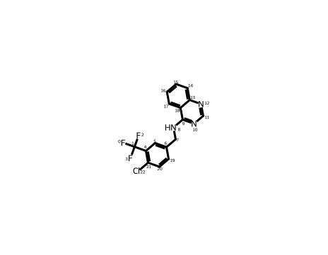 FC(F)(F)c1cc(CNc2ncnc3ccccc23)ccc1Cl